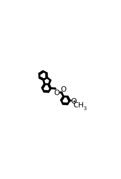 COc1cccc(C(=O)OCc2cccc3c2Cc2ccccc2-3)c1